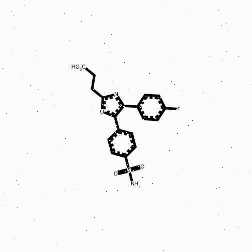 NS(=O)(=O)c1ccc(-c2oc(CCC(=O)O)nc2-c2ccc(F)cc2)cc1